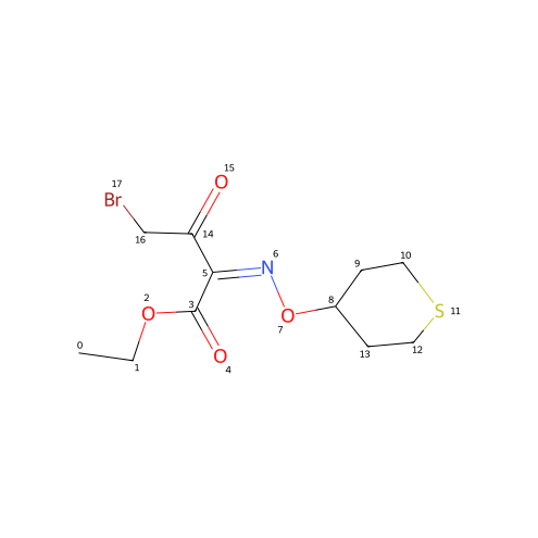 CCOC(=O)C(=NOC1CCSCC1)C(=O)CBr